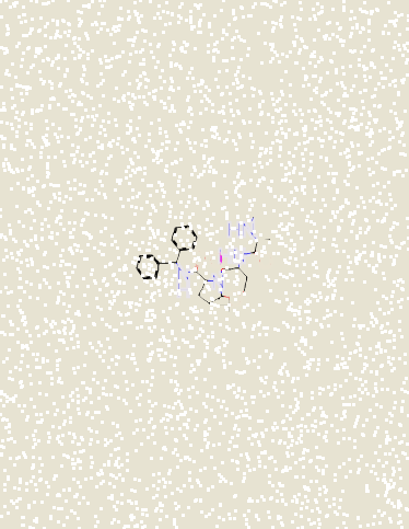 CN[C@@H](C)C(=O)N[C@H]1CCO[C@H]2CCC(C(=O)NC(c3ccccc3)c3ccccc3)N2C1=O